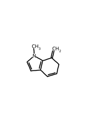 C=C1CC=Cc2ccn(C)c21